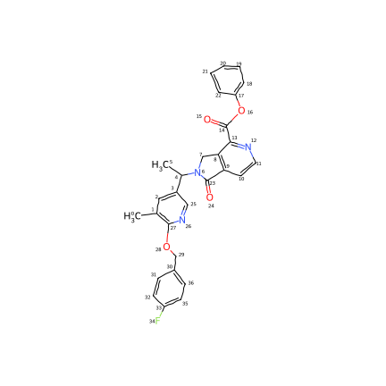 Cc1cc(C(C)N2Cc3c(ccnc3C(=O)Oc3ccccc3)C2=O)cnc1OCc1ccc(F)cc1